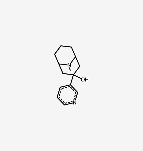 CN1C2CCCC1CC(O)(c1cccnc1)C2